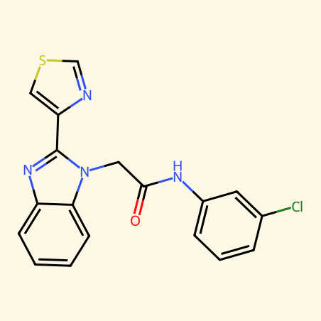 O=C(Cn1c(-c2cscn2)nc2ccccc21)Nc1cccc(Cl)c1